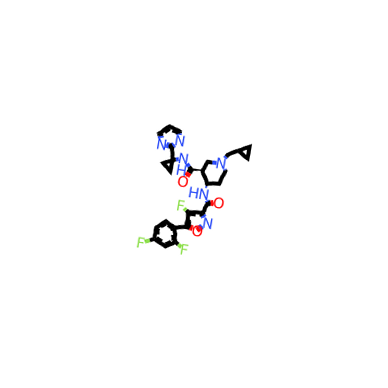 O=C(N[C@H]1CCN(CC2CC2)C[C@@H]1C(=O)NC1(c2ncccn2)CC1)c1noc(-c2ccc(F)cc2F)c1F